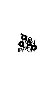 Cc1ccc(-n2nc(C(O)N(c3ccccc3)C(C)C)c3c4ccccc4n(C)c3c2=O)cc1